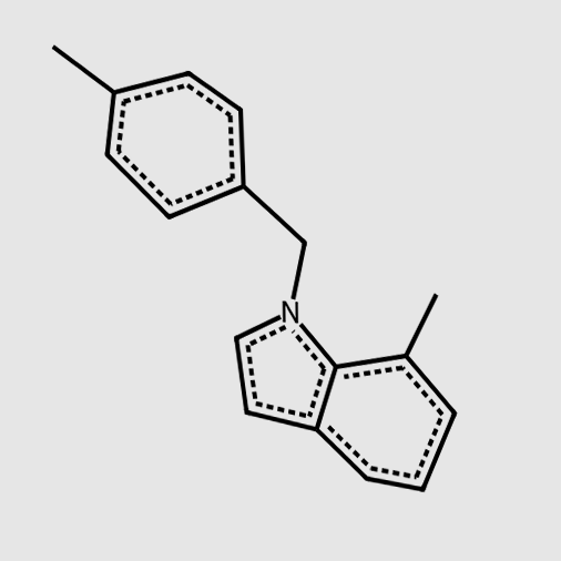 Cc1ccc(Cn2ccc3cccc(C)c32)cc1